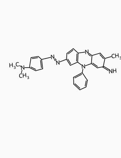 Cc1cc2nc3ccc(N=Nc4ccc(N(C)C)cc4)cc3n(-c3ccccc3)c-2cc1=N